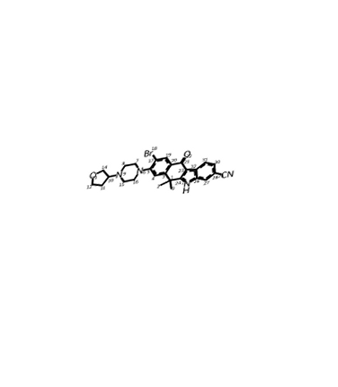 CC1(C)c2cc(N3CCN(C4CCOC4)CC3)c(Br)cc2C(=O)c2c1[nH]c1cc(C#N)ccc21